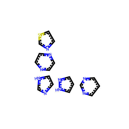 c1c[nH]cn1.c1cn[nH]c1.c1cnccn1.c1cncnc1.c1cscn1